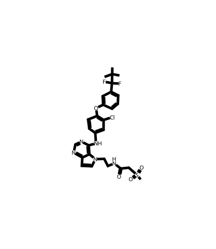 CC(C)(C)C(F)(F)c1cccc(Oc2ccc(Nc3ncnc4ccn(CCNC(=O)CS(C)(=O)=O)c34)cc2Cl)c1